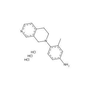 Cc1cc(N)ccc1N1CCc2ccncc2C1.Cl.Cl.Cl